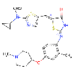 Cc1cc(OC2CCN(C)CC2)ccc1/N=C1/NC(=O)/C(=C/c2cnc(N(C=O)C3CC3)s2)S1